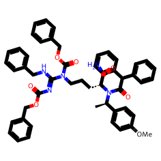 COc1ccc([C@@H](C)N(C(=O)C(c2ccccc2)c2ccccc2)[C@H](CCCN(C(=O)OCc2ccccc2)C(=NC(=O)OCc2ccccc2)NCc2ccccc2)C(N)=O)cc1